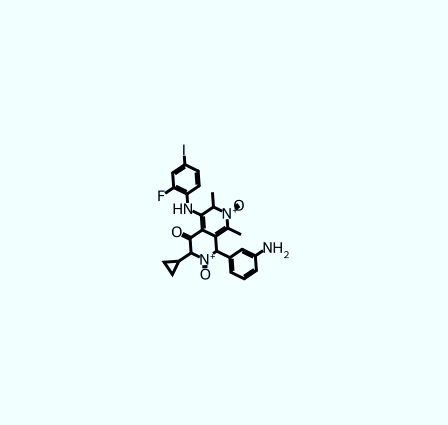 CC1=C2C(=C(Nc3ccc(I)cc3F)C(C)[N+]1=O)C(=O)C(C1CC1)[N+](=O)C2c1cccc(N)c1